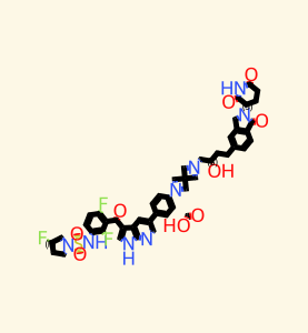 O=C1CC[C@H](N2Cc3cc(CC[C@H](O)CN4CC5(C4)CN(c4ccc(-c6cnc7[nH]cc(C(=O)c8c(F)ccc(NS(=O)(=O)N9CC[C@@H](F)C9)c8F)c7c6)cc4)C5)ccc3C2=O)C(=O)N1.O=CO